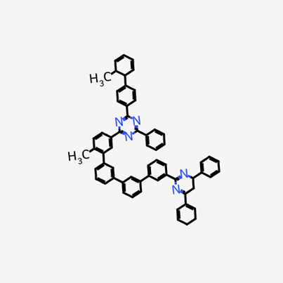 Cc1ccc(-c2nc(-c3ccccc3)nc(-c3ccc(C4C=CC=CC4C)cc3)n2)cc1-c1cccc(-c2cccc(-c3cccc(C4=NC(c5ccccc5)CC(C5=CCCC=C5)=N4)c3)c2)c1